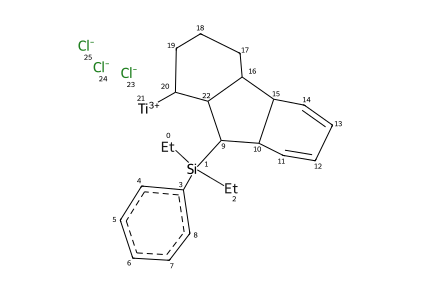 CC[Si](CC)(c1ccccc1)C1C2C=CC=CC2C2CCC[CH]([Ti+3])C21.[Cl-].[Cl-].[Cl-]